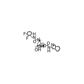 CN(C(=O)NCc1cccc(F)c1F)[C@](C)(C[C@H](O)CO)C(S)COC(=O)Nc1cc2ccccc2cn1